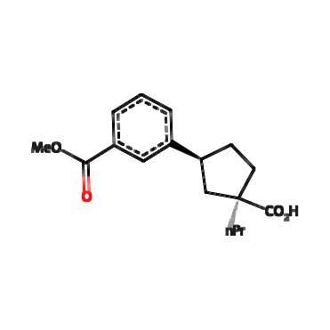 CCC[C@@]1(C(=O)O)CC[C@H](c2cccc(C(=O)OC)c2)C1